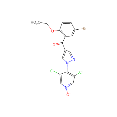 O=C(O)COc1ccc(Br)cc1C(=O)c1cnn(-c2c(Cl)c[n+]([O-])cc2Cl)c1